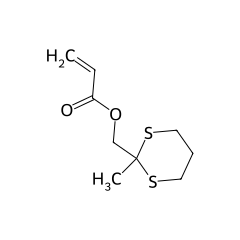 C=CC(=O)OCC1(C)SCCCS1